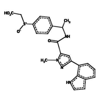 CC(NC(=O)c1cc(-c2cccc3cc[nH]c23)nn1C)c1ccc([S+]([O-])CC(=O)O)cc1